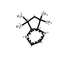 CC1(C)CC(C)(C)c2nccnc21